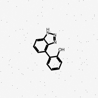 Oc1ccccc1-c1cccc2[nH]nnc12